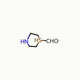 O=[C][SH]1CCNCC1